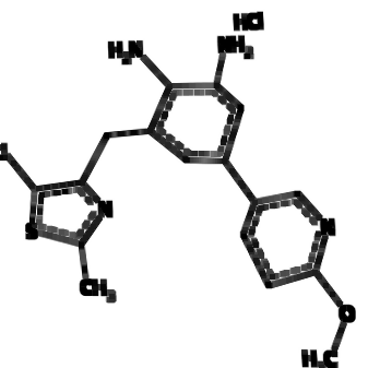 COc1ccc(-c2cc(N)c(N)c(Cc3nc(C)sc3Cl)c2)cn1.Cl